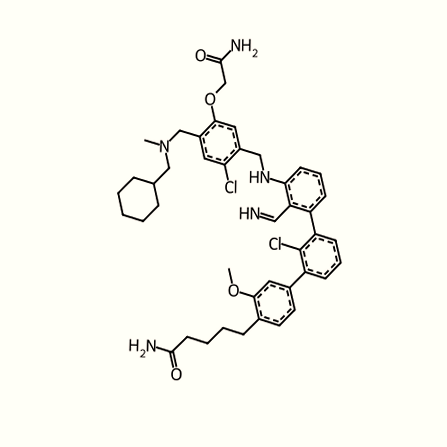 COc1cc(-c2cccc(-c3cccc(NCc4cc(OCC(N)=O)c(CN(C)CC5CCCCC5)cc4Cl)c3C=N)c2Cl)ccc1CCCCC(N)=O